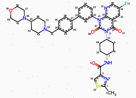 Cc1nc(C(=O)N[C@H]2CC[C@@H](n3c(=O)c4cc(F)cnc4n(-c4cccc(-c5ccc(CN6CCC(N7CCOCC7)CC6)cc5)c4)c3=O)CC2)cs1